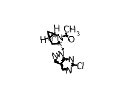 CC(=O)N1[C@H](Cn2ncc3cnc(Cl)nc32)C[C@@H]2C[C@@H]21